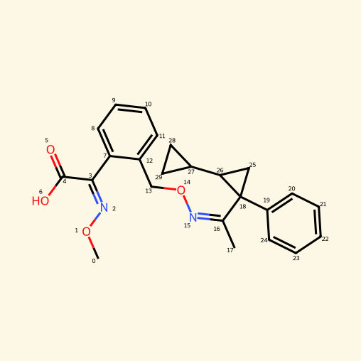 CON=C(C(=O)O)c1ccccc1CON=C(C)C1(c2ccccc2)CC1C1CC1